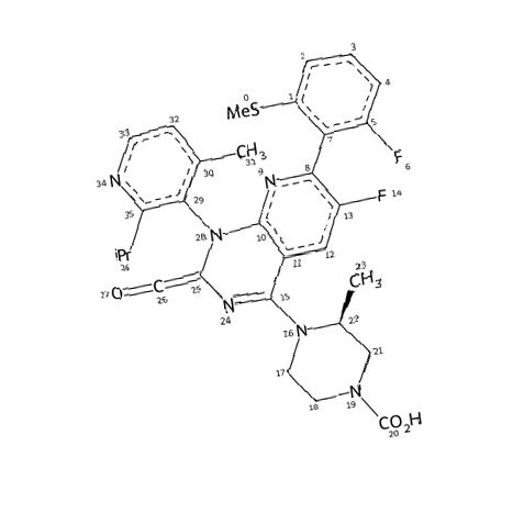 CSc1cccc(F)c1-c1nc2c(cc1F)C(N1CCN(C(=O)O)C[C@@H]1C)=NC(=C=O)N2c1c(C)ccnc1C(C)C